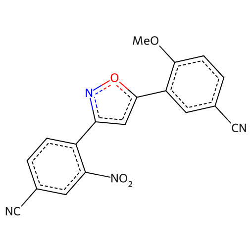 COc1ccc(C#N)cc1-c1cc(-c2ccc(C#N)cc2[N+](=O)[O-])no1